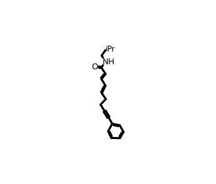 CC(C)CNC(=O)/C=C/C=C/CCC#Cc1ccccc1